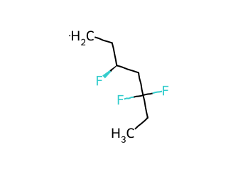 [CH2]C[C@H](F)CC(F)(F)CC